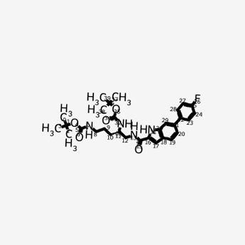 CC(C)(C)OC(=O)NCCC[C@H](CNC(=O)c1cc2ccc(-c3ccc(F)cc3)cc2[nH]1)NC(=O)OC(C)(C)C